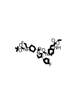 CCOC(=O)c1cc2cc(NC(=O)[C@@H]3[C@H](c4ccc(F)cc4)CCN3C(=O)[C@H]3CC[C@H](C(CF)NC(=O)OC(C)(C)C)CC3)ccc2[nH]1